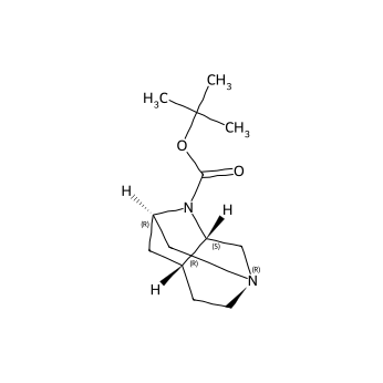 CC(C)(C)OC(=O)N1[C@@H]2C[C@H]3CC[N@@](C2)C[C@H]31